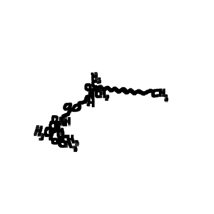 CCCCCCC=CCCCCCCC(C)(C)C(=O)NCCCOC(=O)CCNC(=O)C1OC(C)(C)OCC1(C)C